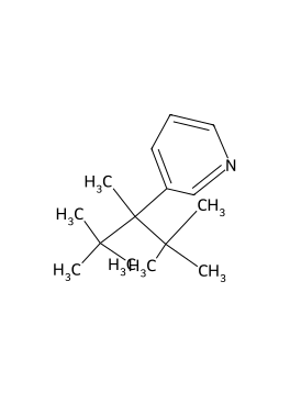 CC(C)(C)C(C)(c1cccnc1)C(C)(C)C